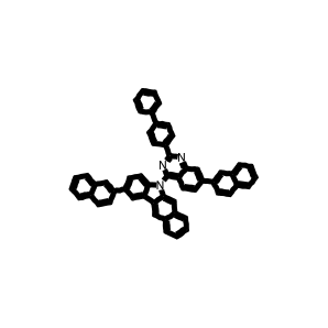 c1ccc(-c2ccc(-c3nc(-n4c5ccc(-c6ccc7ccccc7c6)cc5c5cc6ccccc6cc54)c4ccc(-c5ccc6ccccc6c5)cc4n3)cc2)cc1